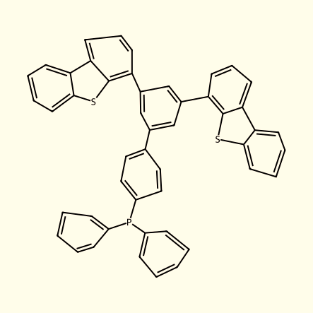 c1ccc(P(c2ccccc2)c2ccc(-c3cc(-c4cccc5c4sc4ccccc45)cc(-c4cccc5c4sc4ccccc45)c3)cc2)cc1